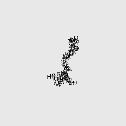 CCc1c(F)ccc2cc(O)cc(-c3ncc4c(N5CCC(O)CC5)nc(OCC5(CN6CCC7(CC6)CC(CN6CCN(c8ccc9c(c8)CN([C@H]8CCC(=O)NC8=O)C9=O)CC6)C7)CC5)nc4c3F)c12